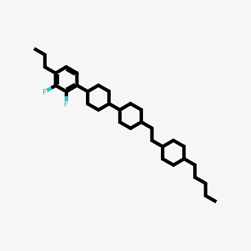 CCCCCC1CCC(CCC2CCC(C3CCC(c4ccc(CCC)c(F)c4F)CC3)CC2)CC1